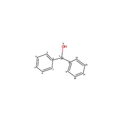 O[Si](c1ccccc1)c1ccccc1